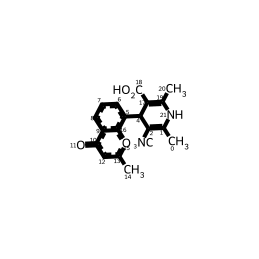 CC1=C(C#N)C(c2cccc3c(=O)cc(C)oc23)C(C(=O)O)=C(C)N1